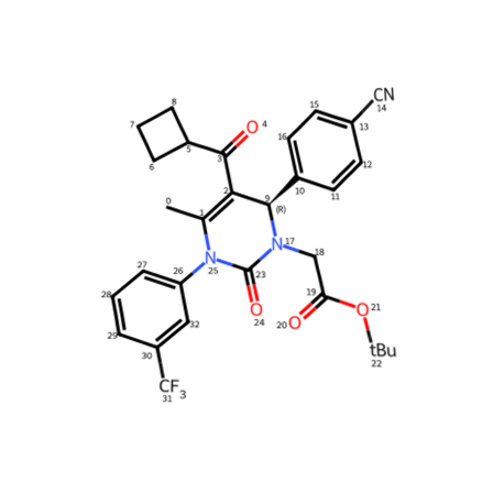 CC1=C(C(=O)C2CCC2)[C@@H](c2ccc(C#N)cc2)N(CC(=O)OC(C)(C)C)C(=O)N1c1cccc(C(F)(F)F)c1